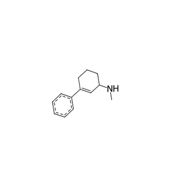 CNC1C=C(c2ccccc2)CCC1